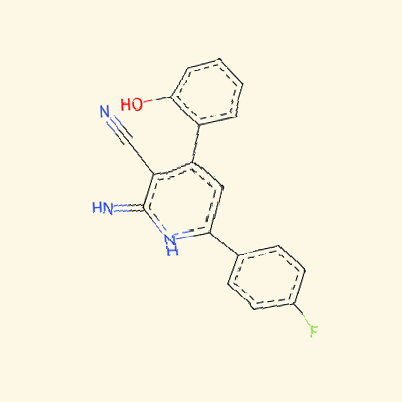 N#Cc1c(-c2ccccc2O)cc(-c2ccc(F)cc2)[nH]c1=N